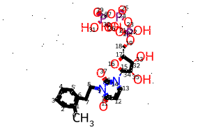 Cc1ccccc1CCn1c(=O)ccn([C@@H]2O[C@H](COP(=O)(O)OP(=O)(O)OP(=O)(O)O)[C@H](O)[C@@H]2O)c1=O